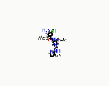 COc1cc(N)c(Cl)cc1C(=O)N[C@H]1CCN(CCNc2ncccc2C#N)C[C@H]1OC